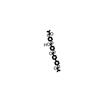 C=C(C)C(=O)Oc1ccc(OC(O)c2ccc(OC(=O)c3ccc(-c4ccc(OC(=O)C(=C)C)cc4)cc3)cc2)cc1